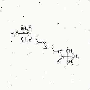 BC(C)(C)C(=O)OCCSSCCOC(=O)C(B)(C)C